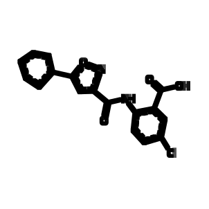 O=C(Nc1ccc(Cl)cc1C(=O)O)c1cc(-c2ccccc2)on1